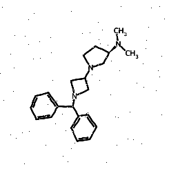 CN(C)[C@@H]1CCN(C2CN(C(c3ccccc3)c3ccccc3)C2)C1